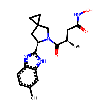 CCCC[C@H](CC(=O)NO)C(=O)N1CC2(CC2)C[C@@H]1c1nc2ccc(C)cc2[nH]1